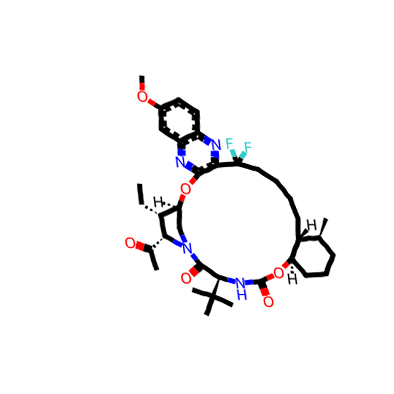 CC[C@@H]1[C@@H]2CN(C(=O)[C@H](C(C)(C)C)NC(=O)O[C@@H]3CCC[C@H](C)[C@H]3CCCCC(F)(F)c3nc4ccc(OC)cc4nc3O2)[C@@H]1C(C)=O